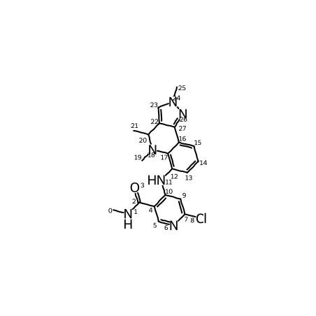 CNC(=O)c1cnc(Cl)cc1Nc1cccc2c1N(C)C(C)c1cn(C)nc1-2